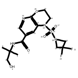 CC(C)(CO)NC(=O)c1cnc2c(c1)N(S(=O)(=O)N1CC(F)(F)C1)CCO2